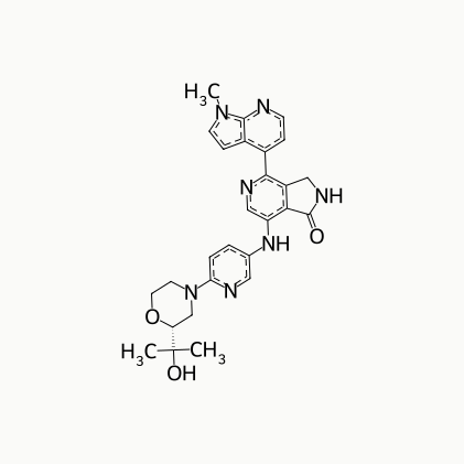 Cn1ccc2c(-c3ncc(Nc4ccc(N5CCO[C@@H](C(C)(C)O)C5)nc4)c4c3CNC4=O)ccnc21